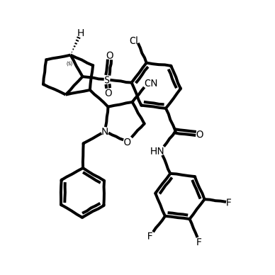 N#CC1CON(Cc2ccccc2)C1C1C[C@@H]2CCC1C2S(=O)(=O)c1cc(C(=O)Nc2cc(F)c(F)c(F)c2)ccc1Cl